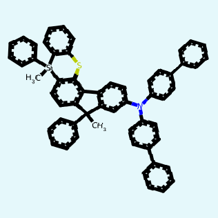 CC1(c2ccccc2)c2cc(N(c3ccc(-c4ccccc4)cc3)c3ccc(-c4ccccc4)cc3)ccc2-c2c1ccc1c2Sc2ccccc2[Si]1(C)c1ccccc1